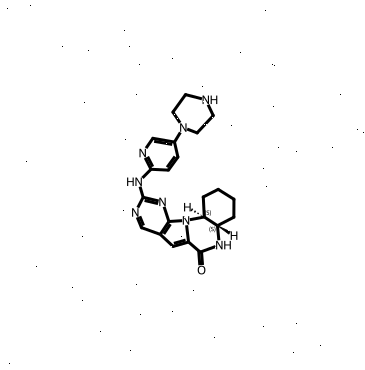 O=C1N[C@H]2CCCC[C@@H]2n2c1cc1cnc(Nc3ccc(N4CCNCC4)cn3)nc12